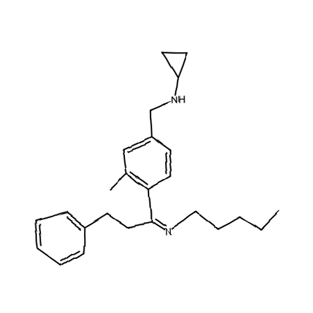 CCCCC/N=C(/CCc1ccccc1)c1ccc(CNC2CC2)cc1C